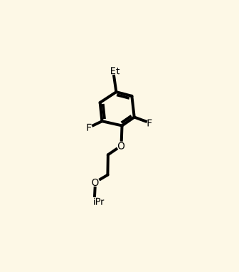 CCc1cc(F)c(OCCOC(C)C)c(F)c1